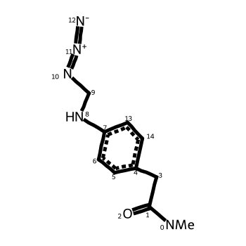 CNC(=O)Cc1ccc(NCN=[N+]=[N-])cc1